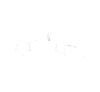 CC(C)(C)C(=O)c1sc(C(=O)OCc2ccccc2)cc1Cl